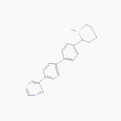 CN1CCCCC1c1ccc(-c2ccc(-c3cncnc3)cc2)cc1